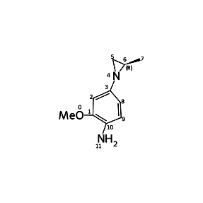 COc1cc(N2C[C@H]2C)ccc1N